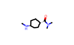 CN[C@H]1CC[C@H](C(=O)N(C)C)CC1